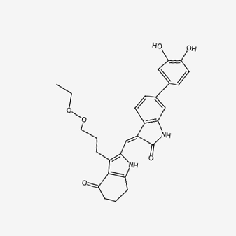 CCOOCCCc1c(/C=C2\C(=O)Nc3cc(-c4ccc(O)c(O)c4)ccc32)[nH]c2c1C(=O)CCC2